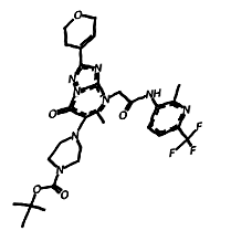 Cc1nc(C(F)(F)F)ccc1NC(=O)Cn1c(C)c(N2CCN(C(=O)OC(C)(C)C)CC2)c(=O)n2nc(C3=CCOCC3)nc12